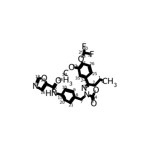 CCC1OC(=O)N(Cc2ccc(NC(=O)c3cnco3)cc2)N=C1c1ccc(OC(F)F)c(OC)c1